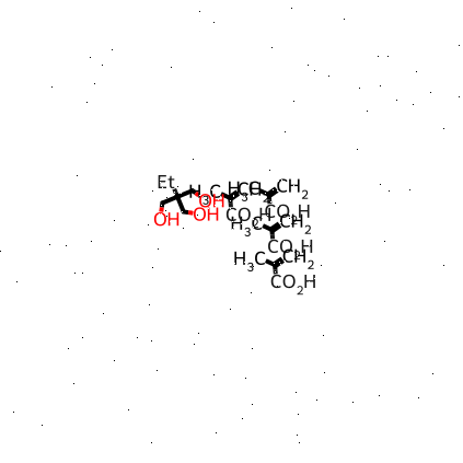 C=C(C)C(=O)O.C=C(C)C(=O)O.C=C(C)C(=O)O.C=C(C)C(=O)O.CCC(CO)(CO)CO